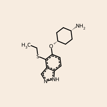 CCSc1c(O[C@H]2CC[C@@H](N)CC2)ccc2[nH]ncc12